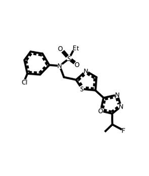 CCS(=O)(=O)N(Cc1ncc(-c2nnc(C(C)F)o2)s1)c1cccc(Cl)c1